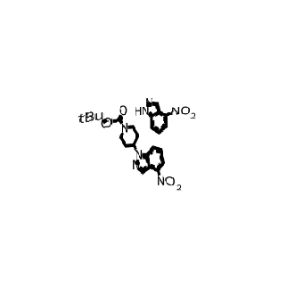 CC(C)(C)OC(=O)N1CCC(n2ncc3c([N+](=O)[O-])cccc32)CC1.O=[N+]([O-])c1cccc2[nH]ncc12